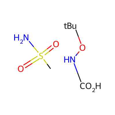 CC(C)(C)ONC(=O)O.CS(N)(=O)=O